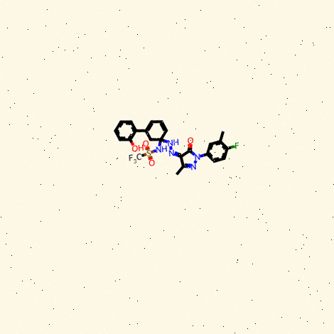 CC1=NN(c2ccc(F)c(C)c2)C(=O)C1=NNC1(NS(=O)(=O)C(F)(F)F)C=CC=C(c2ccccc2O)C1